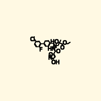 CCOC(=O)C(C)(O)CN(Cc1ccc(-c2cc(Cl)ccc2F)cc1)NC(=O)c1cc(O)no1